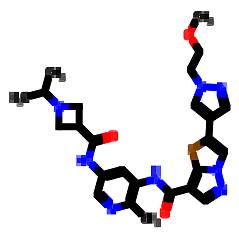 COCCn1cc(-c2cn3ncc(C(=O)Nc4cc(NC(=O)C5CN(C(C)C)C5)cnc4C)c3s2)cn1